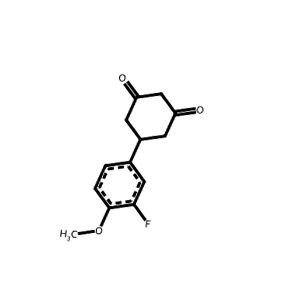 COc1ccc(C2CC(=O)CC(=O)C2)cc1F